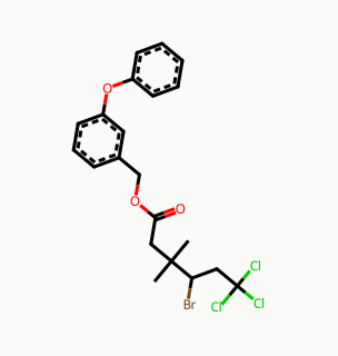 CC(C)(CC(=O)OCc1cccc(Oc2ccccc2)c1)C(Br)CC(Cl)(Cl)Cl